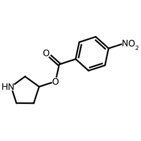 O=C(OC1CCNC1)c1ccc([N+](=O)[O-])cc1